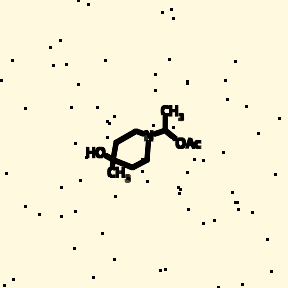 CC(=O)OC(C)N1CCC(C)(O)CC1